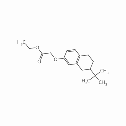 CCOC(=O)COc1ccc2c(c1)CC(C(C)(C)C)CC2